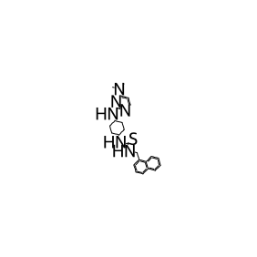 CN(C)c1ccnc(NC2CCC(NC(=S)NCc3cccc4ccccc34)CC2)n1